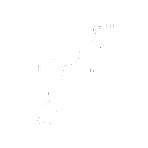 CC(C)N(Cc1c[nH]cn1)c1cccc(-n2ccnc2)c1